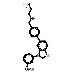 COc1cccc(N2CNc3ccc(-c4ccc(CNCCN)cc4)cc32)c1